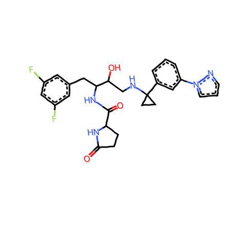 O=C1CCC(C(=O)NC(Cc2cc(F)cc(F)c2)C(O)CNC2(c3cccc(-n4cccn4)c3)CC2)N1